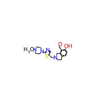 CN1CCN(c2ncc(CN3CCc4ccc(O)c(C=O)c4C3)s2)CC1